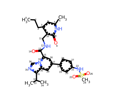 CCCc1cc(C)[nH]c(=O)c1CNC(=O)c1cc(-c2ccc(NS(C)(=O)=O)cc2)cc2c(C(C)C)ncn12